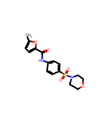 Cc1ccc(C(=O)Nc2ccc(S(=O)(=O)N3CCOCC3)cc2)o1